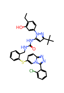 CCc1ccc(-n2nc(C(C)(C)C)cc2NC(=O)NCc2ccccc2Sc2ccc3nnc(-c4ccccc4Cl)n3c2)cc1O